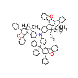 CC1(C)c2cc(N(c3ccc4c(c3)C(C)(C)c3c5c(c6oc7ccccc7c6c3-4)-c3ccccc3C5(C)C)c3ccc4c(c3)C(c3ccccc3)(c3ccccc3)c3cc(-c5ccccc5)c5oc6ccccc6c5c3-4)ccc2-c2c1cc(-c1ccccc1)c1oc3ccccc3c21